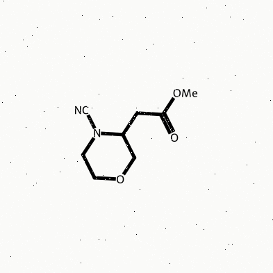 COC(=O)CC1COCCN1C#N